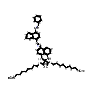 CCCCCCCCCCCCCCCCCCOC(=O)C1(C(=O)OCCCCCCCCCCCCCCCCCC)Nc2cccc3c(/N=N/c4ccc(/N=N/c5ccccc5)c5ccccc45)ccc(c23)N1